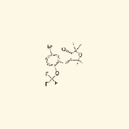 CC1(C)OC(C)(C)C(=Cc2cc(Br)ccc2OC(F)(F)F)C1=O